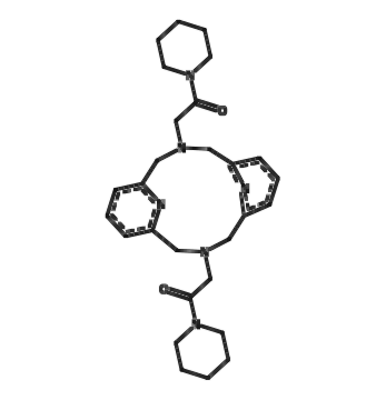 O=C(CN1Cc2cccc(n2)CN(CC(=O)N2CCCCC2)Cc2cccc(n2)C1)N1CCCCC1